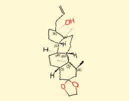 C=CC[C@]1(O)CC[C@H]2[C@@H]3CC[C@H]4CC5(C[C@H](C)[C@]4(C)[C@H]3CC[C@@]21C)OCCO5